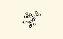 CCOC(CN(CCC(c1ccccc1)c1ccccc1)C(=O)[C@H](CC(=O)NC(c1ccccc1)(c1ccccc1)c1ccccc1)NC(=O)OCC1c2ccccc2-c2ccccc21)OCC